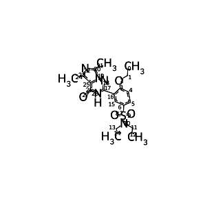 CCOc1ccc(S(=O)(=O)N(CC)CC)cc1-c1nn2c(C)nc(C)c2c(=O)[nH]1